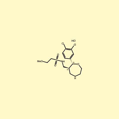 COCCS(=O)(=O)NC[C@@H]1CNCCO[C@H]1c1ccc(Cl)c(Cl)c1.Cl